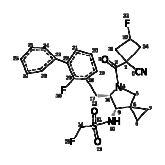 N#CC1(C(=O)N2CC3(CC3)[C@H](NS(=O)(=O)CF)[C@@H]2Cc2cccc(-c3ccccc3)c2F)CC(F)C1